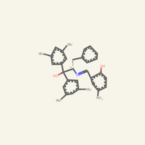 CC(C)(C)c1cc(C(C)(C)C)cc(C(O)(c2cc(C(C)(C)C)cc(C(C)(C)C)c2)[C@H](Cc2ccccc2)N=Cc2cc([N+](=O)[O-])ccc2O)c1